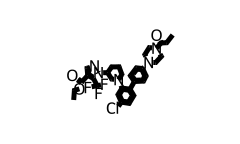 CCOC(=O)c1cnn(C2CCCN(c3cc(Cl)ccc3-c3ccc(N4CCN(C(=O)CC)CC4)cc3)C2)c1C(F)(F)F